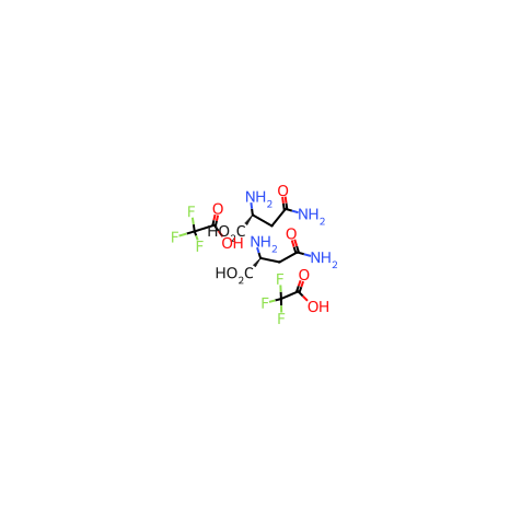 NC(=O)C[C@H](N)C(=O)O.NC(=O)C[C@H](N)C(=O)O.O=C(O)C(F)(F)F.O=C(O)C(F)(F)F